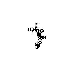 N[C@]1(c2ccc(-c3nnc(NC(=O)C[C@H]4CC[C@H](N5CCOC5=O)CC4)cc3-c3ccccc3)cc2)C[C@@H](F)C1